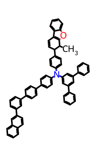 CC1c2oc3ccccc3c2C=CC1c1ccc(N(c2ccc(-c3ccc(-c4cccc(-c5ccc6ccccc6c5)c4)cc3)cc2)c2cc(-c3ccccc3)cc(-c3ccccc3)c2)cc1